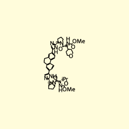 COC(=O)N[C@H](C(=O)N1C2CCC(C2)[C@H]1c1ncc(-c2ccc3c(c2)CCc2cc(-c4cnc([C@@H]5CCCN5C(=O)[C@@H](NC(=O)OC)C5CCOCC5)[nH]4)ccc2-3)[nH]1)C(C)C